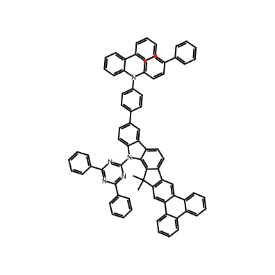 CC1(C)c2cc3c4ccccc4c4ccccc4c3cc2-c2ccc3c4cc(-c5ccc(N(c6ccc(-c7ccccc7)cc6)c6ccccc6-c6ccccc6)cc5)ccc4n(-c4nc(-c5ccccc5)nc(-c5ccccc5)n4)c3c21